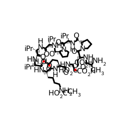 CC(=O)O.CC(C)[C@H](NC(=O)[C@@H](NC(=O)[C@@H](NC(=O)[C@@H]1CCCN1C(=O)[C@@H](NC(=O)[C@@H]1CCCN1C(=O)[C@H](CCC(=O)O)NC(=O)[C@H](C)N)C(C)C)C(C)C)C(C)C)C(=O)N[C@@H](CCCCN)C(=O)N[C@@H](CCC(N)=O)C(=O)N[C@@H](CC(=O)O)C(=O)O